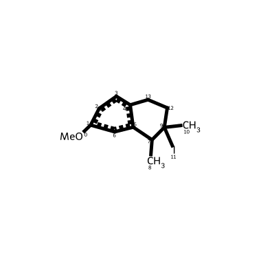 COc1ccc2c(c1)C(C)C(C)(I)CC2